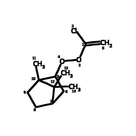 C=C(Cl)OOC1CC2CCC1(C)C2(C)C